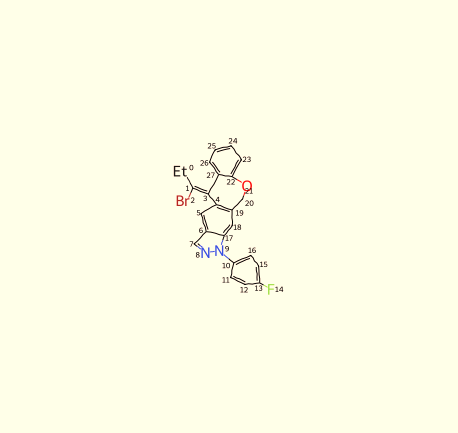 CCC(Br)=C1c2cc3cnn(-c4ccc(F)cc4)c3cc2COc2ccccc21